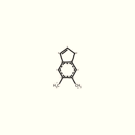 Cc1cc2c(cc1C)C=C[CH]2